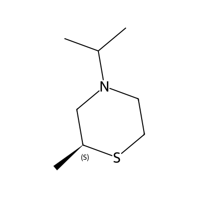 CC(C)N1CCS[C@@H](C)C1